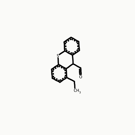 CCc1cccc2c1C(C=O)c1ccccc1S2